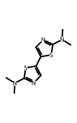 CN(C)c1ncc(-c2cnc(N(C)C)s2)s1